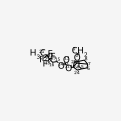 C=COC12CC3CC(C1)CC(OC(=O)OCCC(F)(F)C(C)(F)F)(C3)C2